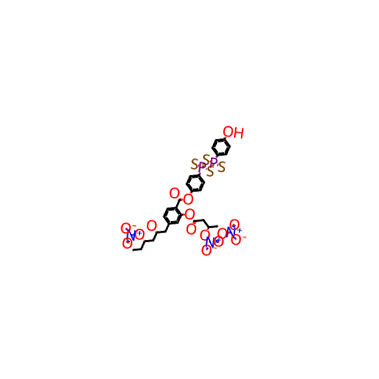 CCC(CC(=O)Cc1ccc(C(=O)Oc2ccc(P3(=S)SP(=S)(c4ccc(O)cc4)S3)cc2)c(OC(=O)CC(CO[N+](=O)[O-])O[N+](=O)[O-])c1)O[N+](=O)[O-]